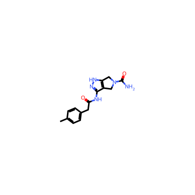 Cc1ccc(CC(=O)Nc2n[nH]c3c2CN(C(N)=O)C3)cc1